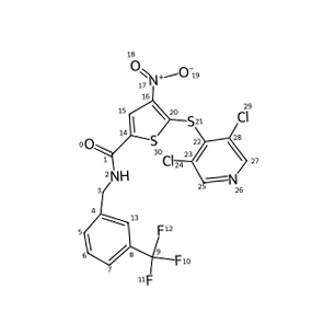 O=C(NCc1cccc(C(F)(F)F)c1)c1cc([N+](=O)[O-])c(Sc2c(Cl)cncc2Cl)s1